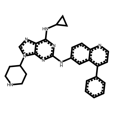 c1ccc(-c2ccnc3ccc(Nc4nc(NC5CC5)c5ncn(C6CCNCC6)c5n4)cc23)cc1